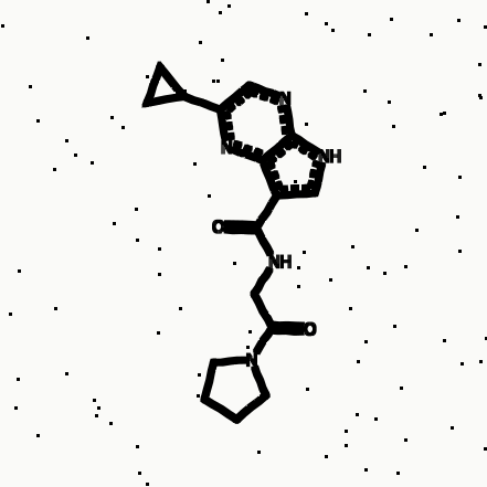 O=C(NCC(=O)N1CCCC1)c1c[nH]c2ncc(C3CC3)nc12